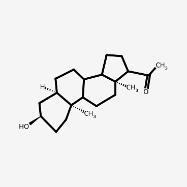 CC(=O)C1CCC2C3CC[C@@H]4C[C@H](O)CC[C@]4(C)C3CC[C@]12C